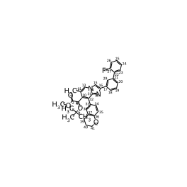 COC(=O)[C@H](OC(C)(C)C)c1c(C)cn2cc(-c3cccc(-c4ccccc4F)c3)nc2c1-c1ccc2c(c1)CCCO2